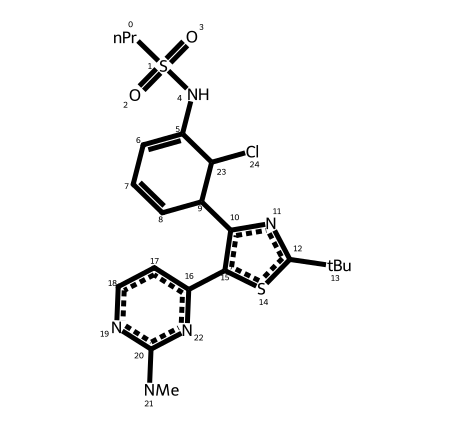 CCCS(=O)(=O)NC1=CC=CC(c2nc(C(C)(C)C)sc2-c2ccnc(NC)n2)C1Cl